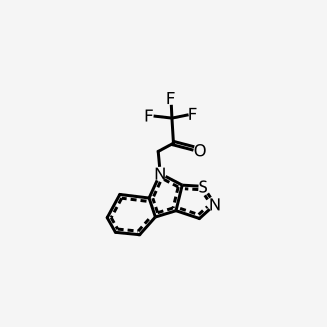 O=C(Cn1c2ccccc2c2cnsc21)C(F)(F)F